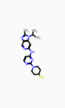 Cc1nc2cnc(Nc3ccnc(N4CCC(S)CC4)n3)cc2n1C(C)C